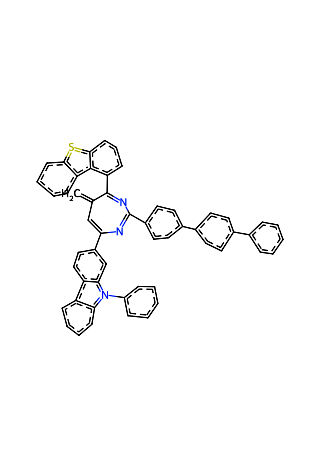 C=C1C=C(c2ccc3c4ccccc4n(-c4ccccc4)c3c2)N=C(c2ccc(-c3ccc(-c4ccccc4)cc3)cc2)N=C1c1cccc2sc3ccccc3c12